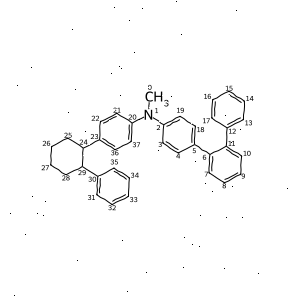 CN(c1ccc(-c2ccccc2-c2ccccc2)cc1)c1ccc(C2CCCCC2c2ccccc2)cc1